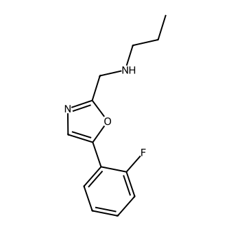 CCCNCc1ncc(-c2ccccc2F)o1